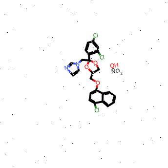 Clc1ccc(C2(Cn3ccnc3)OCC(COc3ccc(Cl)c4ccccc34)O2)c(Cl)c1.O=[N+]([O-])O